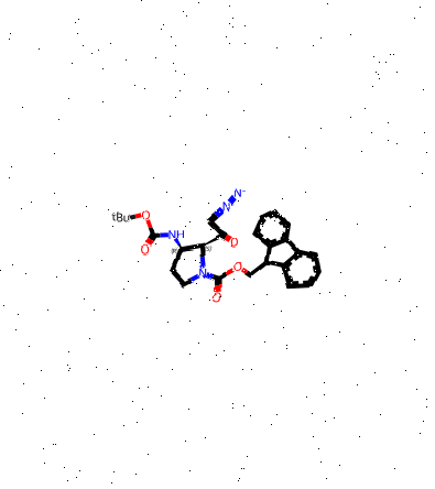 CC(C)(C)OC(=O)N[C@@H]1CCN(C(=O)OCC2c3ccccc3-c3ccccc32)[C@@H]1C(=O)C=[N+]=[N-]